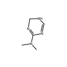 CN(C)C1=NCN[C]=N1